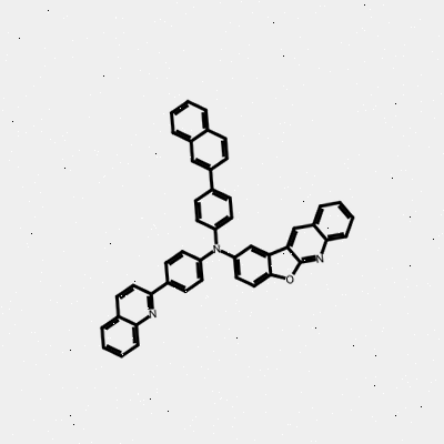 c1ccc2cc(-c3ccc(N(c4ccc(-c5ccc6ccccc6n5)cc4)c4ccc5oc6nc7ccccc7cc6c5c4)cc3)ccc2c1